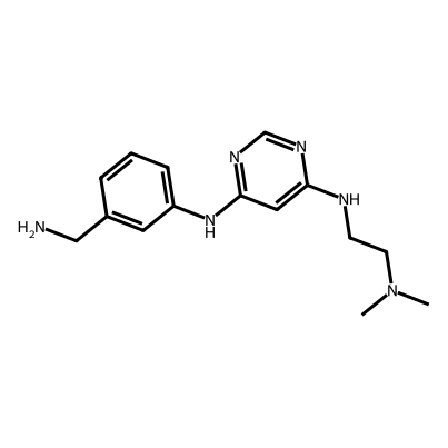 CN(C)CCNc1cc(Nc2cccc(CN)c2)ncn1